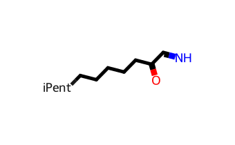 CCCC(C)CCCCCC(=O)C=N